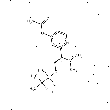 CN(C)[C@@H](CO[Si](C)(C)C(C)(C)C)c1cc(OC(N)=O)ccn1